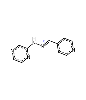 C(=N\Nc1cnccn1)/c1ccncc1